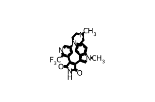 CN1CCN(c2cnc(C(F)(F)F)c(C3=C(c4cn(C)c5ccccc45)C(=O)NC3=O)c2)CC1